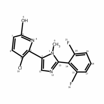 Cn1c(-c2nc(O)ccc2Cl)cnc1-c1c(F)cccc1F